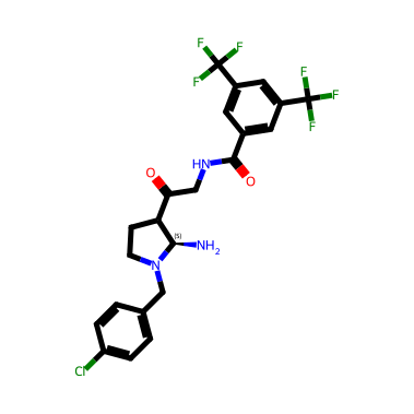 N[C@@H]1C(C(=O)CNC(=O)c2cc(C(F)(F)F)cc(C(F)(F)F)c2)CCN1Cc1ccc(Cl)cc1